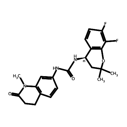 CN1C(=O)CCc2ccc(NC(=O)N[C@@H]3CC(C)(C)Oc4c3ccc(F)c4F)cc21